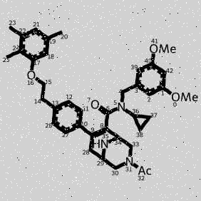 COc1cc(CN(C(=O)C2=C(c3ccc(CCOc4cc(C)cc(C)c4C)cc3)CC3CN(C(C)=O)CC2N3)C2CC2)cc(OC)c1